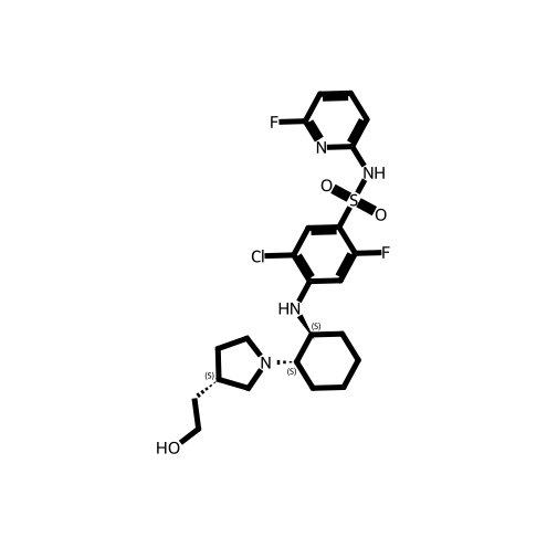 O=S(=O)(Nc1cccc(F)n1)c1cc(Cl)c(N[C@H]2CCCC[C@@H]2N2CC[C@@H](CCO)C2)cc1F